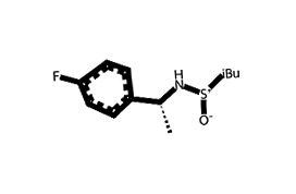 CCC(C)[S+]([O-])N[C@H](C)c1ccc(F)cc1